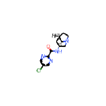 O=C(N[C@@H]1C[C@@H]2CCN(C2)C1)c1ncc(Cl)cn1